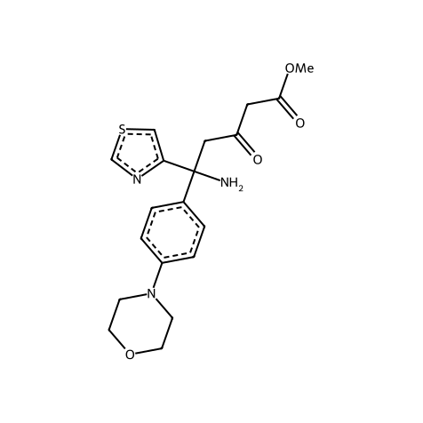 COC(=O)CC(=O)CC(N)(c1ccc(N2CCOCC2)cc1)c1cscn1